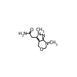 CN1COCc2c1nn(C)c2CC(N)=O